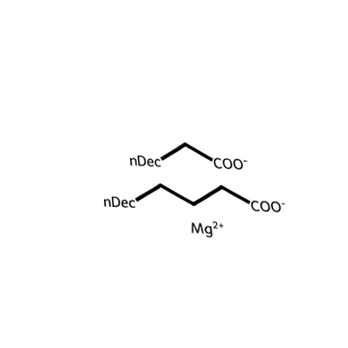 CCCCCCCCCCCC(=O)[O-].CCCCCCCCCCCCCC(=O)[O-].[Mg+2]